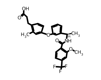 COc1cc(C(F)(F)F)ccc1C(=O)N[C@H](C)c1cccc(Oc2ccc(CCC(=O)O)c(C)c2)c1